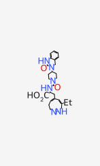 CC/C1=C/C(CC(NC(=O)N2CCC(N3Cc4ccccc4NC3=O)CC2)C(=O)O)=C\C/C=N\NC1